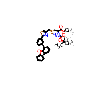 COC(=O)C(CSCc1csc(-c2cccc(-c3cccc4c3oc3ccccc34)c2)n1)NC(=O)OC(C)(C)C